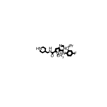 CC(C)Oc1cc(F)ccc1Nc1ncnc2cc(C(=O)NCC3CCNCC3)n(C)c12